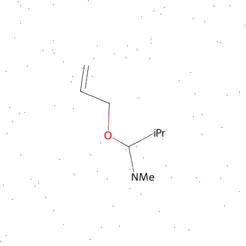 C=CCOC(NC)C(C)C